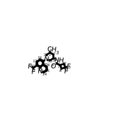 CC1CC(NC(=O)C2CC(F)(F)C2)CN(c2ccc(C(F)F)c3ncccc23)C1